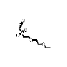 CCOCCOCCS(=O)(=O)CC#N